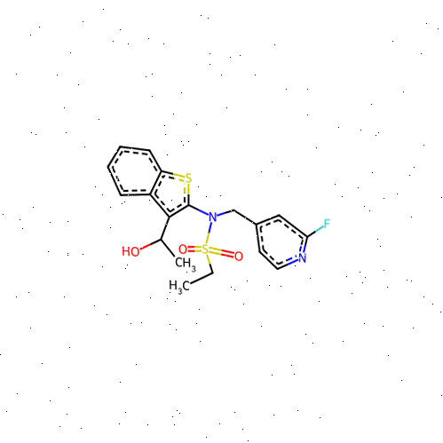 CCS(=O)(=O)N(Cc1ccnc(F)c1)c1sc2ccccc2c1C(C)O